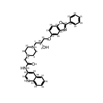 O=C(CN1CCN(C[C@@H](O)COc2ccc3oc(-c4ccccc4)nc3c2)CC1)Nc1cnc2ccccc2c1